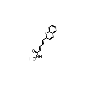 O=C(/C=C/C=C/c1ccc2ccccc2n1)NO